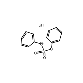 O=S(=O)(Oc1ccccc1)Pc1ccccc1.[LiH]